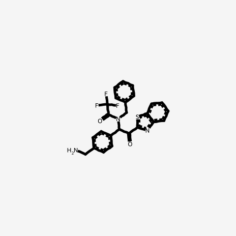 NCc1ccc(C(C(=O)c2nc3ccccc3s2)N(Cc2ccccc2)C(=O)C(F)(F)F)cc1